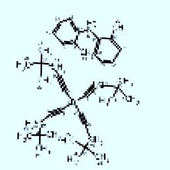 CC(C)(C)[SiH2]C#C[B-](C#C[SiH2]C(C)(C)C)(C#C[SiH2]C(C)(C)C)C#C[SiH2]C(C)(C)C.Cc1ccccc1[NH2+]c1ccccc1C